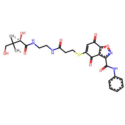 CC(C)(CO)[C@@H](O)C(=O)NCCNC(=O)CCSC1=CC(=O)c2onc(C(=O)Nc3ccccc3)c2C1=O